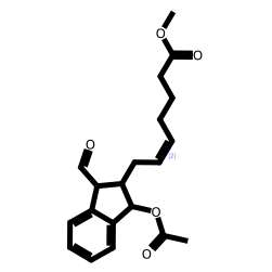 COC(=O)CCC/C=C\CC1C(C=O)c2ccccc2C1OC(C)=O